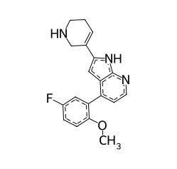 COc1ccc(F)cc1-c1ccnc2[nH]c(C3=CCCNC3)cc12